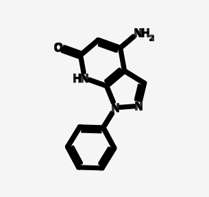 Nc1cc(=O)[nH]c2c1cnn2-c1ccccc1